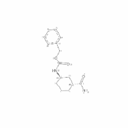 NC(=O)[C@@H]1CCC[C@@H](NC(=O)OCc2ccccc2)C1